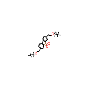 CC(C)(C)[Si](C)(C)OC=Cc1ccc2c(c1)S(=O)(=O)c1cc(C=CO[Si](C)(C)C(C)(C)C)ccc1-2